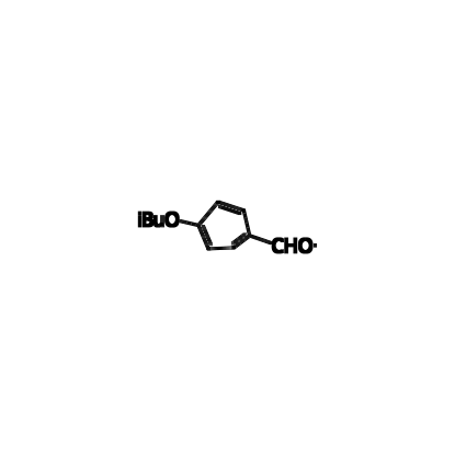 CC(C)COc1ccc([C]=O)cc1